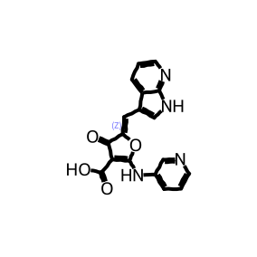 O=C(O)C1=C(Nc2cccnc2)O/C(=C\c2c[nH]c3ncccc23)C1=O